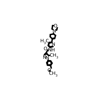 COCc1ccc(-n2ncc(C(=O)Nc3cnc(C4=CCC(N5CCOCC5)CC4)c(C)c3)c2C)cc1